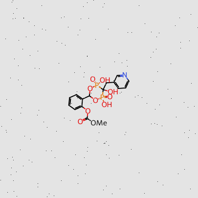 COC(=O)Oc1ccccc1C1OP(=O)(O)C(O)(Cc2cccnc2)P(=O)(O)O1